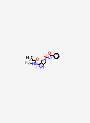 CC(C)C(=O)Nc1[nH]nc2c1CN(C(=O)NC(=O)c1ccccc1)C2